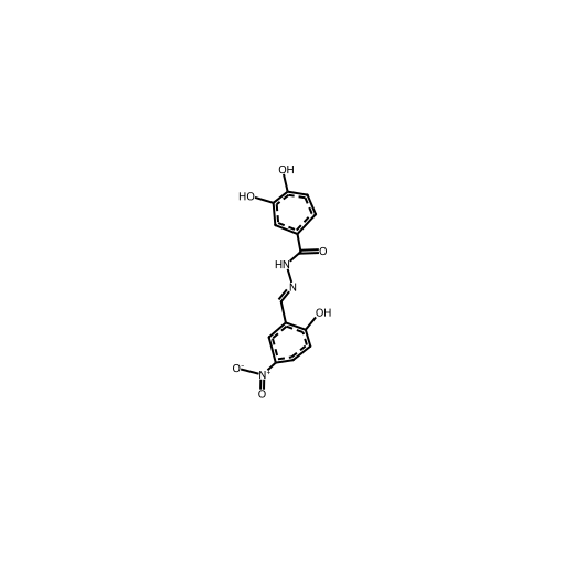 O=C(NN=Cc1cc([N+](=O)[O-])ccc1O)c1ccc(O)c(O)c1